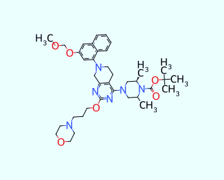 COCOc1cc(N2CCc3c(nc(OCCCN4CCOCC4)nc3N3CC(C)N(C(=O)OC(C)(C)C)[C@H](C)C3)C2)c2ccccc2c1